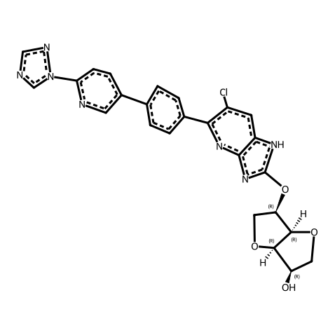 O[C@@H]1CO[C@H]2[C@@H]1OC[C@H]2Oc1nc2nc(-c3ccc(-c4ccc(-n5cncn5)nc4)cc3)c(Cl)cc2[nH]1